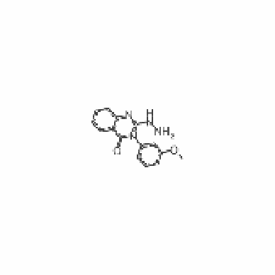 COc1cccc(-n2c(NN)nc3ccccc3c2=O)c1